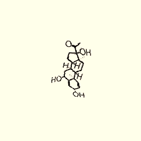 CC(=O)[C@@]1(O)CC[C@H]2[C@@H]3C[C@H](O)C4=C[C@@H](O)C=C[C@]4(C)[C@H]3CC[C@@]21C